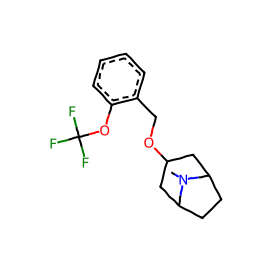 CN1C2CCC1CC(OCc1ccccc1OC(F)(F)F)C2